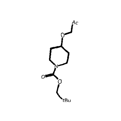 CC(=O)COC1CCN(C(=O)OCC(C)(C)C)CC1